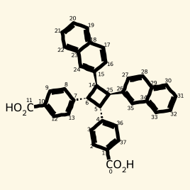 O=C(O)c1ccc([C@@H]2[C@H](c3ccc(C(=O)O)cc3)[C@@H](c3ccc4ccccc4c3)[C@H]2c2ccc3ccccc3c2)cc1